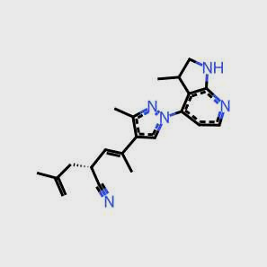 C=C(C)C[C@@H](C#N)/C=C(\C)c1cn(-c2ccnc3c2C(C)CN3)nc1C